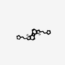 c1cc2cc(CCC3CCCC3)sc2c2c1=c1c=2ccc2cc(CCC3CCCC3)sc12